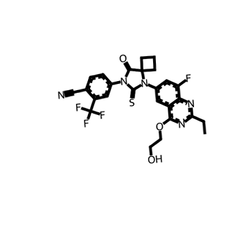 CCc1nc(OCCO)c2cc(N3C(=S)N(c4ccc(C#N)c(C(F)(F)F)c4)C(=O)C34CCC4)cc(F)c2n1